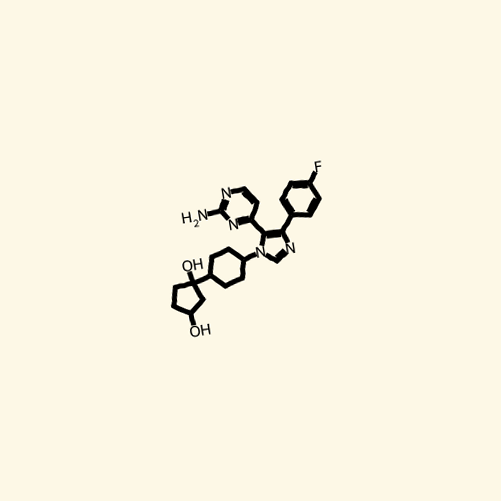 Nc1nccc(-c2c(-c3ccc(F)cc3)ncn2C2CCC(C3(O)CCC(O)C3)CC2)n1